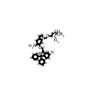 C[Si](C)(C)CCOCn1ncc2cc(N)c(OC[C@H](NC(c3ccccc3)(c3ccccc3)c3ccccc3)C(=O)O)cc21